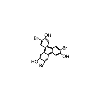 Oc1cc2c(cc1Br)c1cc(O)c(Br)cc1c1cc(O)c(Br)cc21